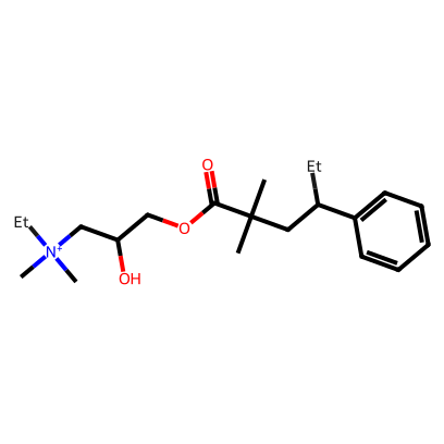 CCC(CC(C)(C)C(=O)OCC(O)C[N+](C)(C)CC)c1ccccc1